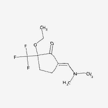 CCOC1(C(F)(F)F)CCC(=CN(C)C)C1=O